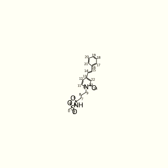 CS(=O)(=O)NC(=O)CCCn1ccc(/C=C/c2ccccc2)cc1=O